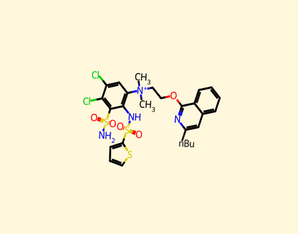 CCCCc1cc2ccccc2c(OCC[N+](C)(C)c2cc(Cl)c(Cl)c(S(N)(=O)=O)c2NS(=O)(=O)c2cccs2)n1